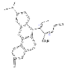 C=C/C=C(C(=O)O)\C(=C/C)c1c2ccc(N(C)C)cc2oc2c1ccc1cc(=O)ccc12